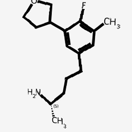 Cc1cc(CCC[C@H](C)N)cc(C2CCOC2)c1F